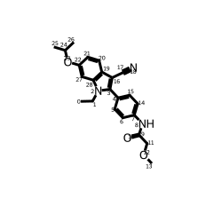 CCn1c(-c2ccc(NC(=O)COC)cc2)c(C#N)c2ccc(OC(C)C)cc21